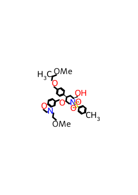 COCCCN1CCOc2ccc(CO[C@H]3CN(S(=O)(=O)c4ccc(C)cc4)[C@H](CO)C[C@@H]3c3ccc(COCC(C)COC)cc3)cc21